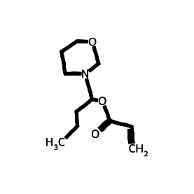 C=CC(=O)OC(CCC)N1CCCOC1